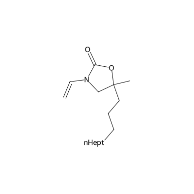 C=CN1CC(C)(CCCCCCCCCC)OC1=O